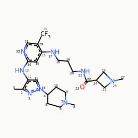 Cc1nn(C2CCN(C)CC2)cc1Nc1cc(NCCCNC(=O)C2CN(C)C2)c(C(F)(F)F)cn1